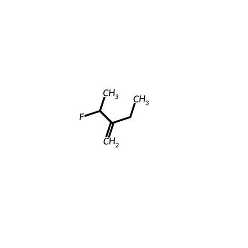 C=C(CC)C(C)F